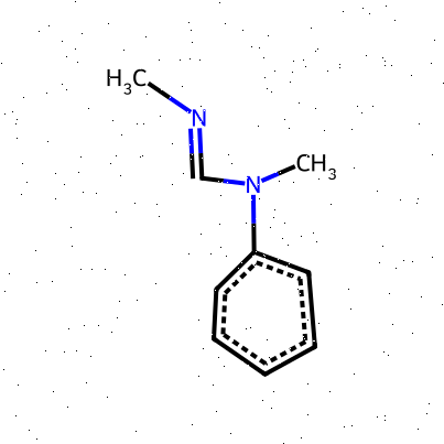 CN=CN(C)c1ccccc1